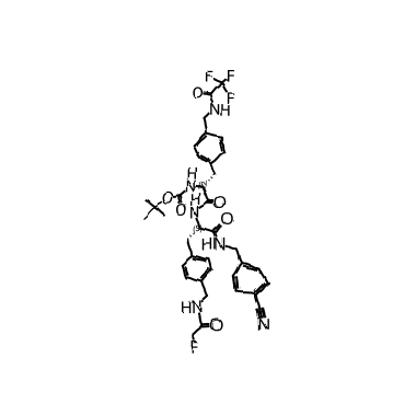 CC(C)(C)OC(=O)N[C@H](Cc1ccc(CNC(=O)C(F)(F)F)cc1)C(=O)N[C@@H](Cc1ccc(CNC(=O)CF)cc1)C(=O)NCc1ccc(C#N)cc1